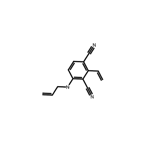 C=CC[N]c1ccc(C#N)c(C=C)c1C#N